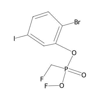 O=P(CF)(OF)Oc1cc(I)ccc1Br